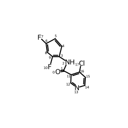 O=C(Nc1ccc(F)cc1F)c1cnccc1Cl